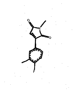 Cc1cc(C2=CC(=O)N(C)C2=O)ccc1F